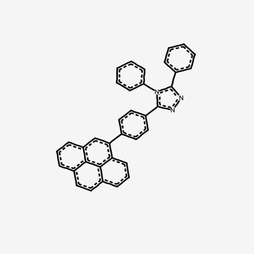 c1ccc(-c2nnc(-c3ccc(-c4cc5cccc6ccc7cccc4c7c65)cc3)n2-c2ccccc2)cc1